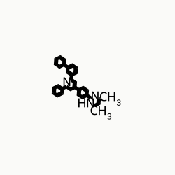 CC1=CC(C)NC(c2ccc(C3=CC(c4cccc(C5C=CC=CC5)c4)=NC(c4ccccc4)C3)cc2)=N1